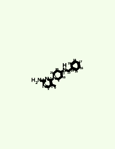 Cc1cnc(N)nc1N1CCC(NCc2ccccc2)CC1